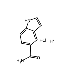 Cl.NC(=O)c1ccc2[nH]ccc2c1.[H+]